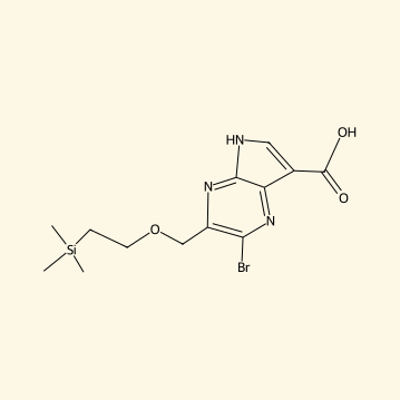 C[Si](C)(C)CCOCc1nc2[nH]cc(C(=O)O)c2nc1Br